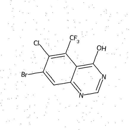 Oc1ncnc2cc(Br)c(Cl)c(C(F)(F)F)c12